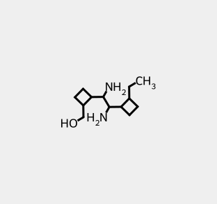 CCC1CCC1C(N)C(N)C1CCC1CO